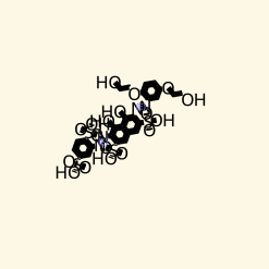 O=S(=O)(O)c1ccc(S(=O)(=O)O)c(/N=N/c2c(S(=O)(=O)O)cc3cc(S(=O)(=O)O)c(/N=N/c4cc(OCCO)ccc4OCCO)c(O)c3c2O)c1